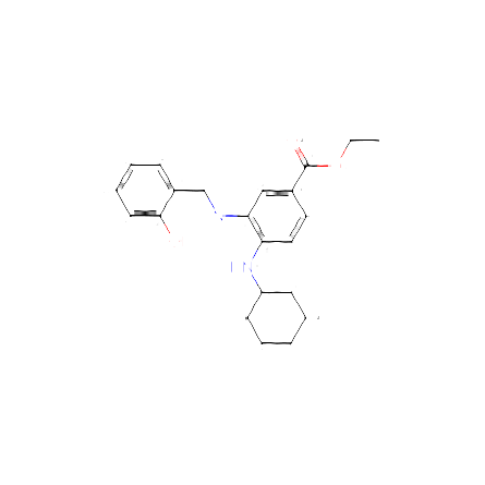 CCOC(=O)c1ccc(NC2CCCCC2)c(NCc2ccccc2O)c1